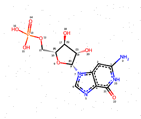 Nc1cc2c(ncn2[C@@H]2O[C@H](COP(=O)(O)O)[C@@H](O)[C@@H]2O)c(=O)[nH]1